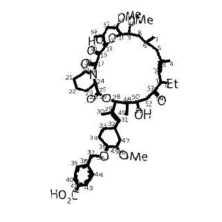 CCC1/C=C(\C)CC(C)CC(OC)C2OC(O)(C(=O)C(=O)N3CCCCC3C(=O)OC(C(C)=CC3CCC(OCc4ccc(C(=O)O)cc4)C(OC)C3)C(C)C(O)CC1=O)C(C)CC2OC